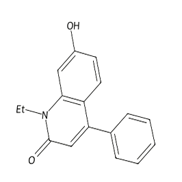 CCn1c(=O)cc(-c2ccccc2)c2ccc(O)cc21